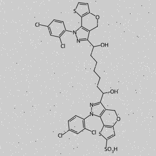 O=S(=O)(O)c1cc2c(s1)-c1c(c(C(O)CCCCCC(O)c3nn(-c4ccc(Cl)cc4Cl)c4c3COc3ccsc3-4)nn1-c1ccc(Cl)cc1Cl)CO2